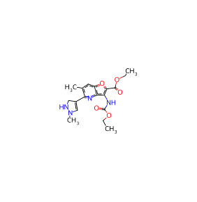 CCOC(=O)Nc1c(C(=O)OCC)oc2cc(C)c(C3=CN(C)NC3)nc12